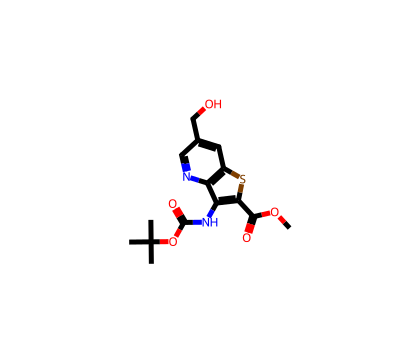 COC(=O)c1sc2cc(CO)cnc2c1NC(=O)OC(C)(C)C